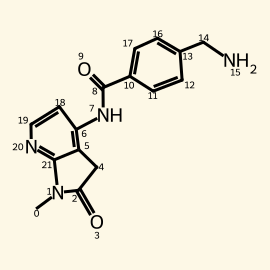 CN1C(=O)Cc2c(NC(=O)c3ccc(CN)cc3)ccnc21